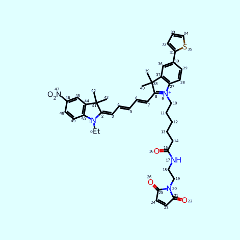 CCN1/C(=C/C=C/C=C/C2=[N+](CCCCCC(=O)NCCN3C(=O)C=CC3=O)c3ccc(-c4cccs4)cc3C2(C)C)C(C)(C)c2cc([N+](=O)[O-])ccc21